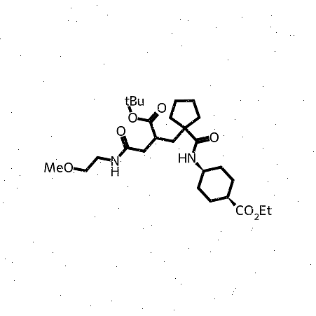 CCOC(=O)[C@H]1CC[C@@H](NC(=O)C2(CC(CC(=O)NCCOC)C(=O)OC(C)(C)C)CCCC2)CC1